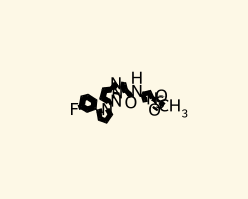 CS(=O)(=O)N1CC(NC(=O)c2cnc3ccc(N4CCC[C@@H]4c4cccc(F)c4)nn23)C1